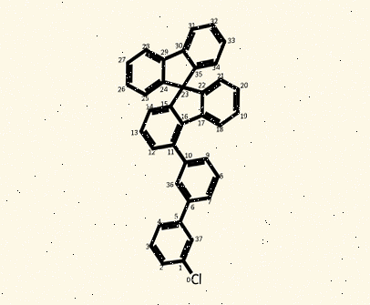 Clc1cccc(-c2cccc(-c3cccc4c3-c3ccccc3C43c4ccccc4-c4ccccc43)c2)c1